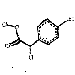 CCc1ccc(C(Cl)C(=O)OCl)cc1